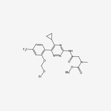 CCOCOc1cc(C(F)(F)F)ccc1-c1nnc(NC(=O)CN(C)C(=O)OC(C)(C)C)nc1C1CC1